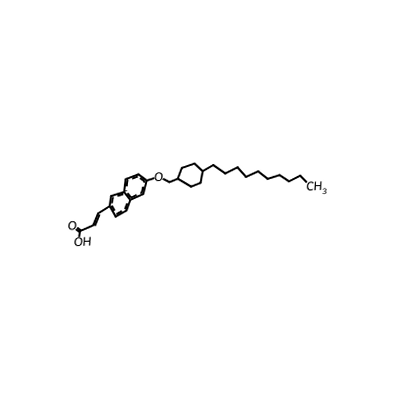 CCCCCCCCCCC1CCC(COc2ccc3cc(/C=C/C(=O)O)ccc3c2)CC1